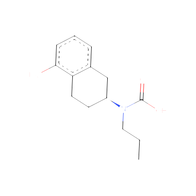 CCCN(C(=O)O)[C@H]1CCc2c(O)cccc2C1